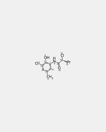 Cc1cc(Cl)c(O)c(NC(=O)[C@@H](Cl)C(C)C)c1